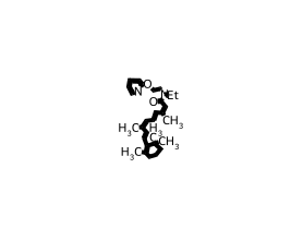 CCN(CCOc1ccccn1)C(=O)C=C(C)C=CC=C(C)C=CC1=C(C)CCCC1(C)C